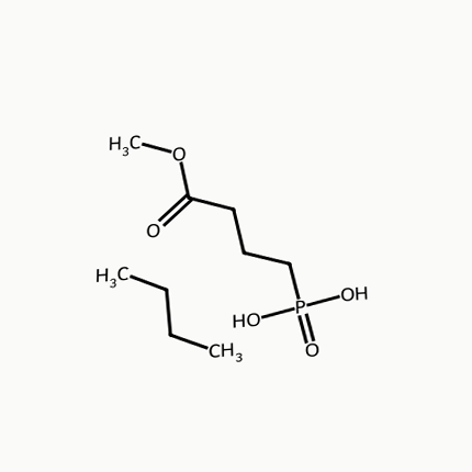 CCCC.COC(=O)CCCP(=O)(O)O